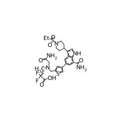 CCS(=O)(=O)N1CCC(c2c[nH]c3c(C(N)=O)cc(-c4csc(CN(C)CC(N)=O)c4)cc23)CC1.O=C(O)C(F)(F)F